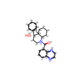 O=C(c1cccc2nccnc12)N1CC[C@@](O)(c2ccccc2)[C@@H]2CCCCC21